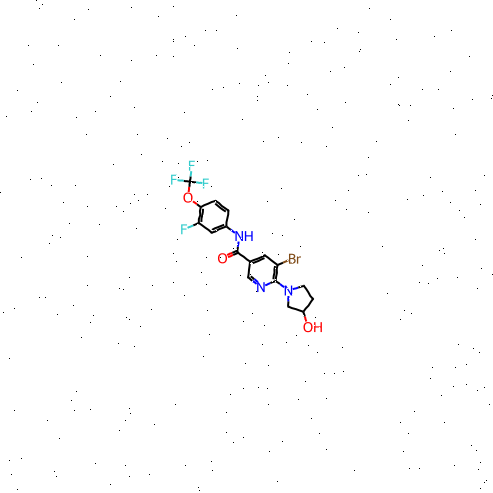 O=C(Nc1ccc(OC(F)(F)F)c(F)c1)c1cnc(N2CCC(O)C2)c(Br)c1